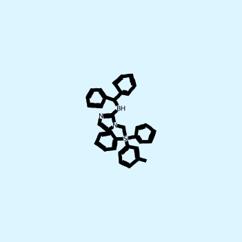 Cc1cccc([Si](Cn2ccnc2BC(c2ccccc2)c2ccccc2)(c2ccccc2)c2ccccc2)c1